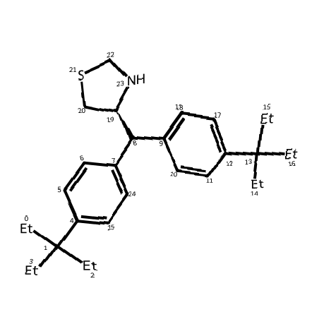 CCC(CC)(CC)c1ccc(C(c2ccc(C(CC)(CC)CC)cc2)[C@H]2CSCN2)cc1